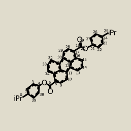 CC(C)c1ccc(OC(=O)c2ccc3c4cccc5c(C(=O)Oc6ccc(C(C)C)cc6)ccc(c6cccc2c63)c54)cc1